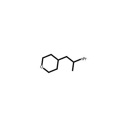 CCCC(C)CC1CCOCC1